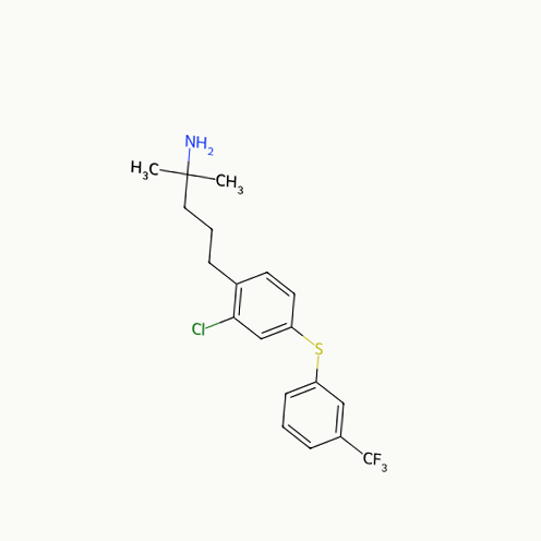 CC(C)(N)CCCc1ccc(Sc2cccc(C(F)(F)F)c2)cc1Cl